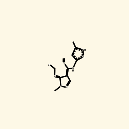 C=N/C(Nc1cc(C)[nH]n1)=C1/C=NN(C)/C1=N/CCl